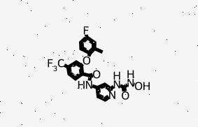 Cc1cc(F)ccc1Oc1cc(C(F)(F)F)ccc1C(=O)Nc1ccnc(NC(=O)NO)c1